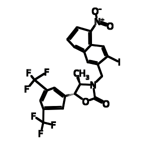 C[C@@H]1[C@@H](c2cc(C(F)(F)F)cc(C(F)(F)F)c2)OC(=O)N1Cc1cc2cccc([N+](=O)[O-])c2cc1I